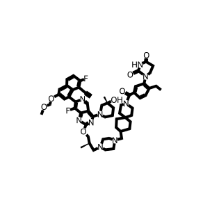 C#Cc1c(F)ccc2cc(OCOC)cc(-c3ncc4c(N5CCC[C@@](C)(O)C5)nc(OC[C@H](C)CN5CCN(CC6CCC7(CC6)CCN(C(=O)c6ccc(CC)c(N8CCC(=O)NC8=O)c6)CC7)CC5)nc4c3F)c12